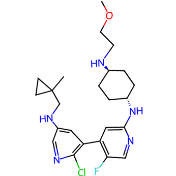 COCCN[C@H]1CC[C@H](Nc2cc(-c3cc(NCC4(C)CC4)cnc3Cl)c(F)cn2)CC1